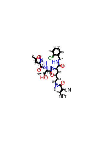 Cc1cc(C(=O)N[C@H](C(=O)NC(CCCCN(C)C(=O)C(C#N)=CC(C)C)C(=O)NCc2ccccc2Cl)[C@@H](C)O)no1